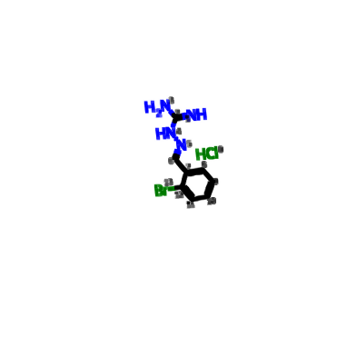 Cl.N=C(N)NN=Cc1ccccc1Br